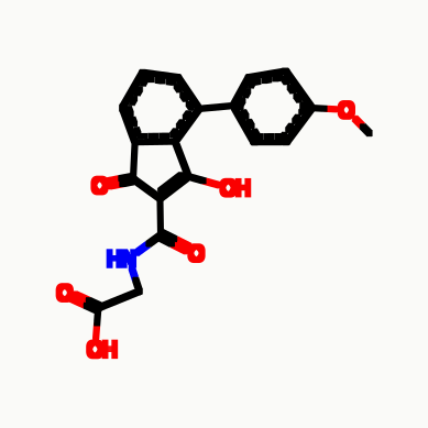 COc1ccc(-c2cccc3c2C(O)=C(C(=O)NCC(=O)O)C3=O)cc1